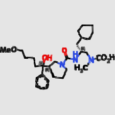 COCCCC[C@@](O)(c1ccccc1)[C@@H]1CCCN(C(=O)N[C@H](CC2CCCCC2)CN(C)C(=O)O)C1